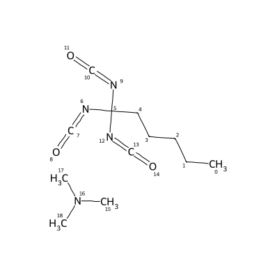 CCCCCC(N=C=O)(N=C=O)N=C=O.CN(C)C